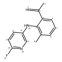 CC(=N)c1cccc(C)c1Nc1ccc(F)nc1